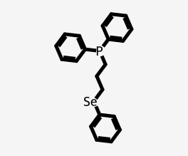 c1ccc([Se]CCCP(c2ccccc2)c2ccccc2)cc1